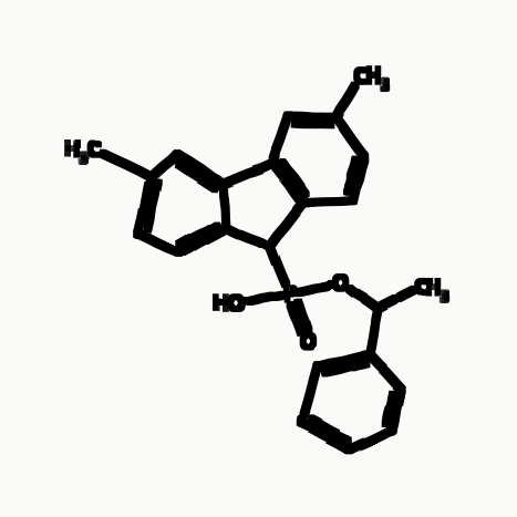 Cc1ccc2c(c1)-c1cc(C)ccc1C2P(=O)(O)OC(C)c1ccccc1